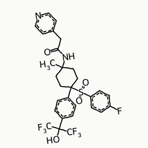 CC1(NC(=O)Cc2ccncc2)CCC(c2ccc(C(O)(C(F)(F)F)C(F)(F)F)cc2)(S(=O)(=O)c2ccc(F)cc2)CC1